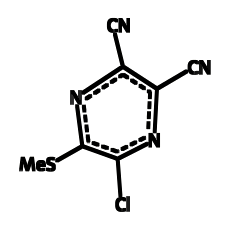 CSc1nc(C#N)c(C#N)nc1Cl